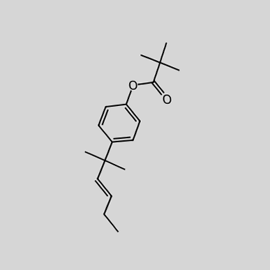 CC/C=C/C(C)(C)c1ccc(OC(=O)C(C)(C)C)cc1